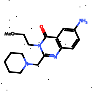 COCCn1c(CN2CCCCC2)nc2ccc(N)cc2c1=O